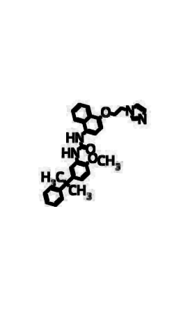 COc1ccc(C(C)(C)c2ccccc2)cc1NC(=O)Nc1ccc(OCCn2ccnc2)c2ccccc12